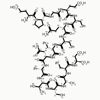 CC(C)C[C@H](NC(=O)[C@H](C)NC(=O)[C@H](CO)NC(=O)[C@@H](NC(=O)[C@@H](NC(=O)[C@H](CC(N)=O)NC(=O)[C@H](CC(C)C)NC(=O)[C@H](CC(C)C)NC(=O)[C@H](CCC(N)=O)NC(=O)[C@H](CC(C)C)NC(=O)[C@H](CCC(=O)O)NC(=O)CNC(=O)[C@@H]1CCCN1C(=O)[C@@H](N)CCC(=O)O)C(C)C)[C@@H](C)O)C(=O)N[C@@H](CC(=O)O)C(=O)O